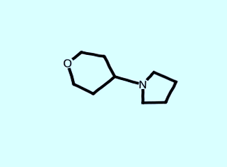 C1CCN(C2CCOCC2)C1